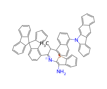 CC(/C(=N\c1sc2ccccc2c1N)c1cccc2c1-c1ccccc1C21c2ccccc2-c2ccccc21)c1cccc2c(-n3c4ccccc4c4cc5ccccc5cc43)cccc12